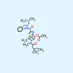 CC[C@H](C)CC(=O)N(C)C(CC(OC(C)=O)c1nc(C(=O)NC(Cc2ccccc2)CC(C)C)cs1)C(C)C